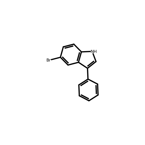 Brc1ccc2[nH]cc(-c3ccccc3)c2c1